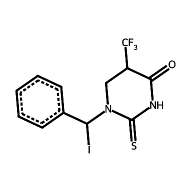 O=C1NC(=S)N(C(I)c2ccccc2)CC1C(F)(F)F